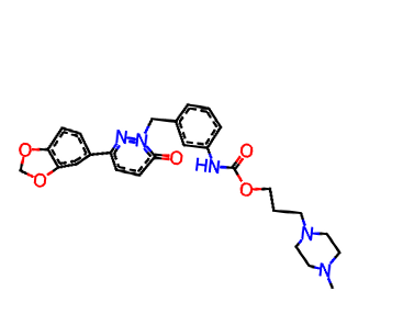 CN1CCN(CCCOC(=O)Nc2cccc(Cn3nc(-c4ccc5c(c4)OCO5)ccc3=O)c2)CC1